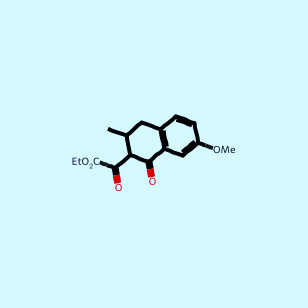 CCOC(=O)C(=O)C1C(=O)c2cc(OC)ccc2CC1C